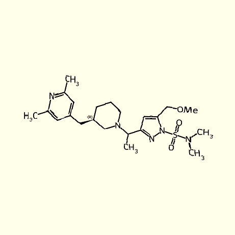 COCc1cc(C(C)N2CCC[C@H](Cc3cc(C)nc(C)c3)C2)nn1S(=O)(=O)N(C)C